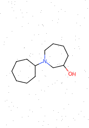 OC1CCCCN(C2CCCCCC2)C1